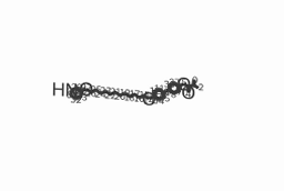 C=C(C)C(=O)Oc1ccc(-c2ccc(OCCCCCCCCCCCCOC3=CNCC=C3)cc2)cc1